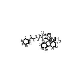 C[N@+]1(CCC=Cc2ccccc2)CCC(C(C(N)=O)(c2ccccc2)c2ccccc2)C1